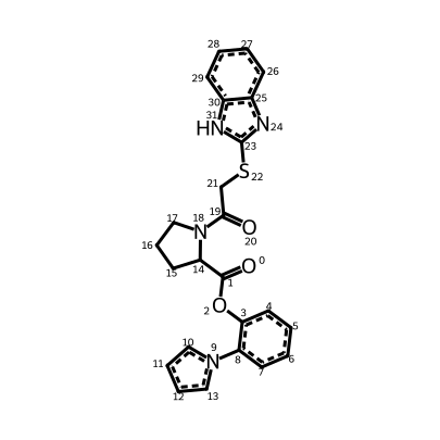 O=C(Oc1ccccc1-n1cccc1)C1CCCN1C(=O)CSc1nc2ccccc2[nH]1